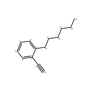 C#Cc1ccccc1CCCCCC